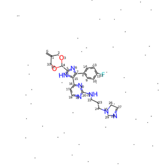 C=C1COC(c2nc(-c3ccc(F)cc3)c(-c3ccnc(NCCCN4CC=NC4)n3)[nH]2)OC1